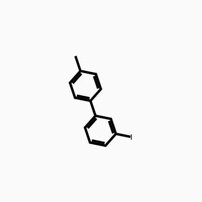 Cc1ccc(-c2cccc(I)c2)cc1